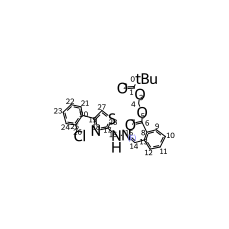 CC(C)(C)C(=O)OCOC(=O)c1ccccc1/C=N/Nc1nc(-c2ccccc2Cl)cs1